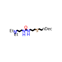 CCCCCCCCCCCCSCCCNC(=O)NCCCN(CC)CC